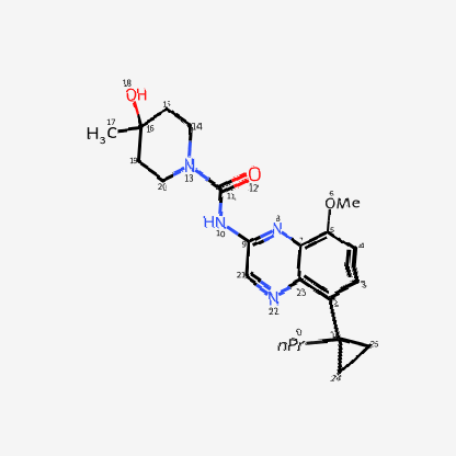 CCCC1(c2ccc(OC)c3nc(NC(=O)N4CCC(C)(O)CC4)cnc23)CC1